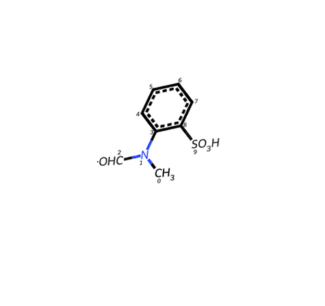 CN([C]=O)c1ccccc1S(=O)(=O)O